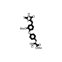 COC(=O)[C@H](Cc1ccc(Oc2ccc(/C=C3\SC(=S)NC3=O)cc2OC)cc1)NCl